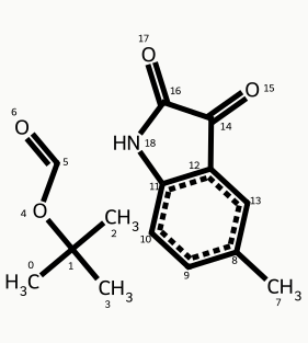 CC(C)(C)OC=O.Cc1ccc2c(c1)C(=O)C(=O)N2